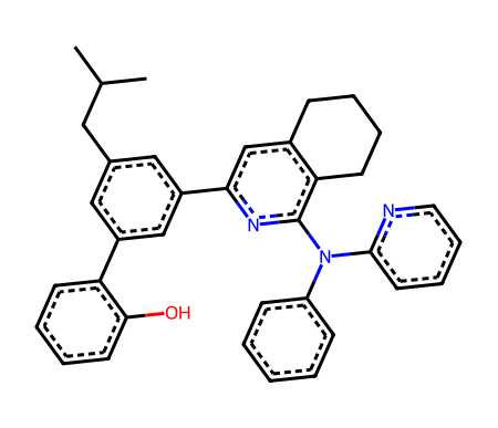 CC(C)Cc1cc(-c2cc3c(c(N(c4ccccc4)c4ccccn4)n2)CCCC3)cc(-c2ccccc2O)c1